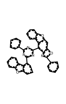 c1ccc(-c2nc(-c3cccc4oc5ccccc5c34)nc(-c3c4nc(-c5ccccc5)oc4cc4oc5ccccc5c34)n2)cc1